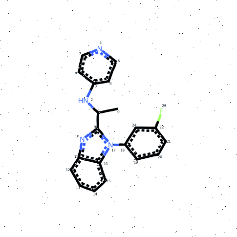 CC(Nc1ccncc1)c1nc2ccccc2n1-c1cccc(F)c1